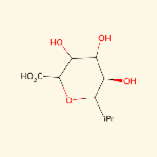 CC(C)C1OC(C(=O)O)C(O)C(O)[C@H]1O